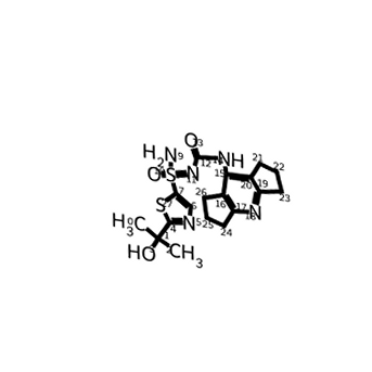 CC(C)(O)c1ncc(S(N)(=O)=NC(=O)Nc2c3c(nc4c2CCC4)CCC3)s1